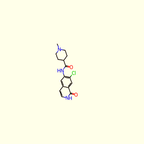 CN1CCC(C(=O)Nc2cc3cc[nH]c(=O)c3cc2Cl)CC1